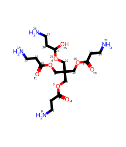 NCCC(=O)OCC(COC(=O)CCN)(COC(=O)CCN)COC(O)CCN